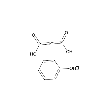 O=P(O)=[P+]=P(=O)O.Oc1ccccc1.[Cl-]